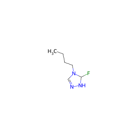 CCCCN1C=NNC1F